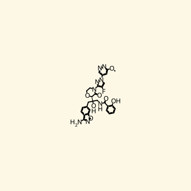 COc1cc(-n2cc(F)c(N3CCO[C@H](C(O)(CNC(=O)c4ccccc4O)Cc4ccc5c(N)noc5c4)C3=O)n2)cnn1